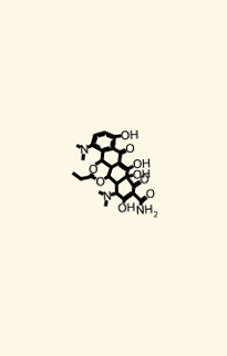 CCC(=O)OC1C2C(=C(O)C3(O)C(=O)C(C(N)=O)=C(O)C(N(C)C)C13)C(=O)c1c(O)ccc(N(C)C)c1C2C